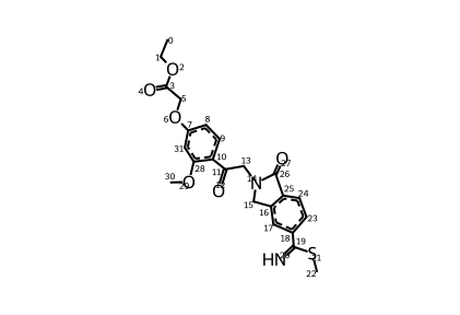 CCOC(=O)COc1ccc(C(=O)CN2Cc3cc(C(=N)SC)ccc3C2=O)c(OC)c1